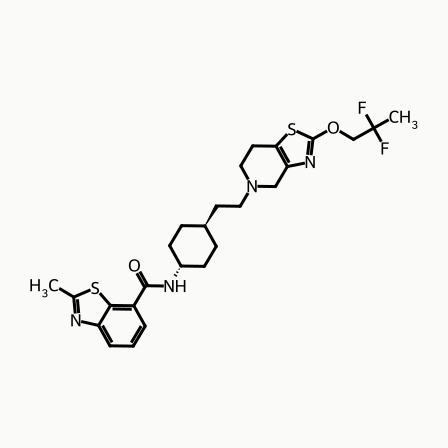 Cc1nc2cccc(C(=O)N[C@H]3CC[C@H](CCN4CCc5sc(OCC(C)(F)F)nc5C4)CC3)c2s1